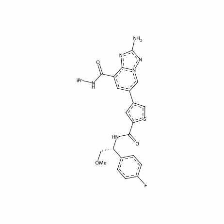 COC[C@H](NC(=O)c1cc(-c2cc(C(=O)NC(C)C)c3nc(N)nn3c2)cs1)c1ccc(F)cc1